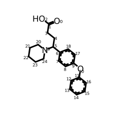 O=C(O)CCC(c1ccc(Oc2ccccc2)cc1)N1CCCCC1